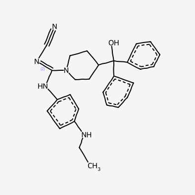 CCNc1ccc(N/C(=N/C#N)N2CCC(C(O)(c3ccccc3)c3ccccc3)CC2)cc1